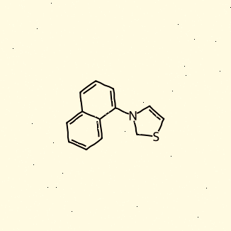 C1=CN(c2cccc3ccccc23)CS1